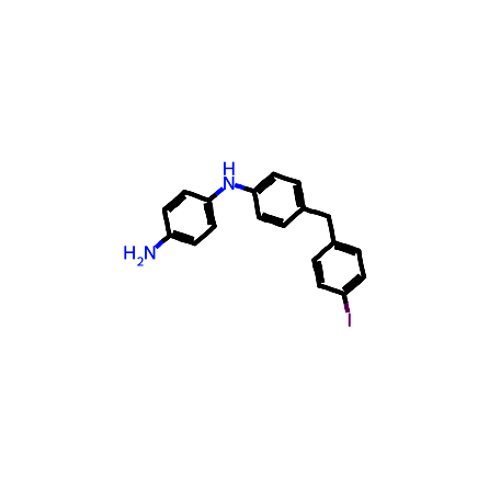 Nc1ccc(Nc2ccc(Cc3ccc(I)cc3)cc2)cc1